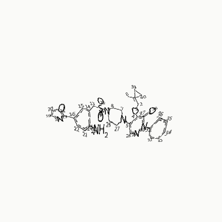 CC1(COc2c(N3CCN(S(=O)(=O)Cc4cc(-c5ncco5)ccc4N)CC3)cnn(-c3ccccc3)c2=O)CC1